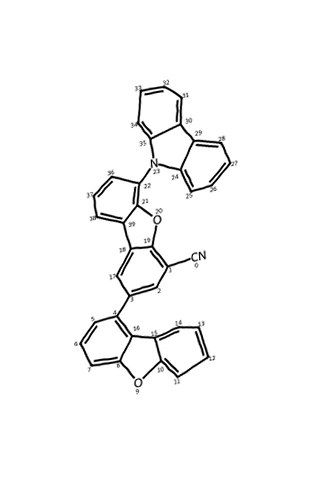 N#Cc1cc(-c2cccc3oc4ccccc4c23)cc2c1oc1c(-n3c4ccccc4c4ccccc43)cccc12